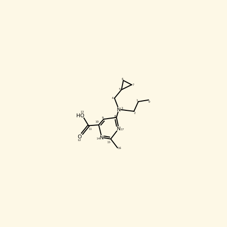 CCCN(CC1CC1)c1cc(C(=O)O)nc(C)n1